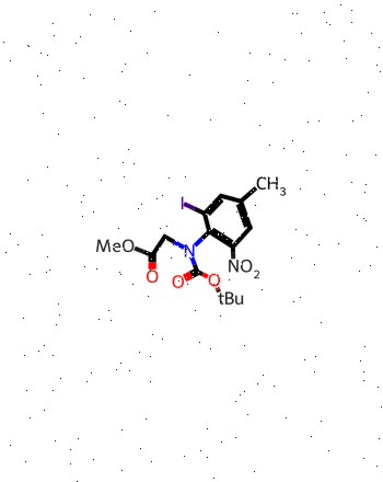 COC(=O)CN(C(=O)OC(C)(C)C)c1c(I)cc(C)cc1[N+](=O)[O-]